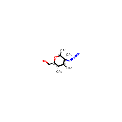 CC(=O)O[C@@H]1[C@@H](CO)O[C@@H](OC(C)=O)[C@](N=[N+]=[N-])(OC(C)=O)[C@H]1OC(C)=O